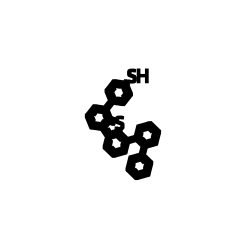 Sc1ccc(-c2cccc3c2sc2c(-c4ccccc4-c4ccccc4)cccc23)cc1